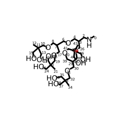 CNCC(COCC(COCC(C)(CO)CO)COCC(C)(CO)CO)COCC(COCC(C)(CO)CO)COCC(C)(CO)CO